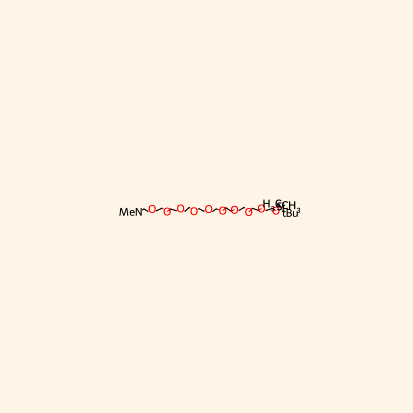 CNCCOCCOCCOCCOCCOCCOCCOCCOCCOCCO[Si](C)(C)C(C)(C)C